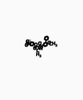 COc1ccc(N2N=C(C)C(C(=O)Oc3ccc([N+](=O)[O-])cc3)C2=O)cc1-c1ccccc1